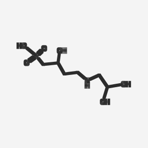 O=S(=O)(O)CC(O)CCNCC(O)O